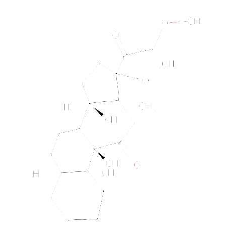 COCC(=O)C1(OC)CC[C@@]2(C)[C@@H]3CC[C@@H]4CCCC[C@]4(C)[C@@]3(C)C(=O)C[C@]12C